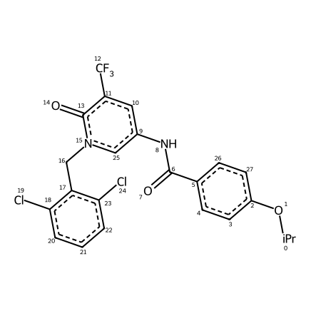 CC(C)Oc1ccc(C(=O)Nc2cc(C(F)(F)F)c(=O)n(Cc3c(Cl)cccc3Cl)c2)cc1